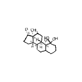 CC[C@H]1CC[C@H]2[C@@H]3CCC4CCCC(O)(O)[C@]4(C)[C@H]3CC[C@]12C